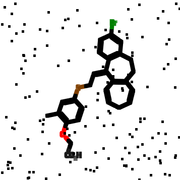 Cc1cc(SC/C=C2\C3=C(C=CCC=C3)CCc3cc(Br)ccc32)ccc1OCC(=O)O